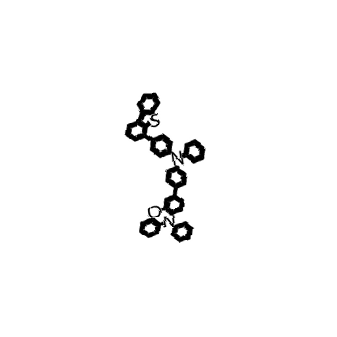 c1ccc(N(c2ccc(-c3ccc4c(c3)Oc3ccccc3N4c3ccccc3)cc2)c2ccc(-c3cccc4c3sc3ccccc34)cc2)cc1